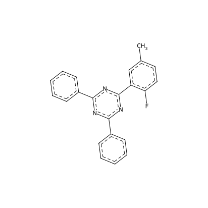 Cc1ccc(F)c(-c2nc(-c3ccccc3)nc(-c3ccccc3)n2)c1